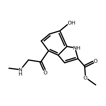 CNCC(=O)c1ccc(O)c2[nH]c(C(=O)OC)cc12